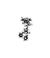 CC1(C)O[C@H]2[C@@H](O1)[C@@H](C(O)NCCCC(C(=O)OCc1ccccc1)C(=O)OCc1ccccc1)O[C@@H]1OC(C)(C)O[C@@H]12